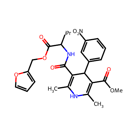 COC(=O)C1=C(C)NC(C)=C(C(=O)NC(C(=O)OCc2ccco2)C(C)C)C1c1cccc([N+](=O)[O-])c1